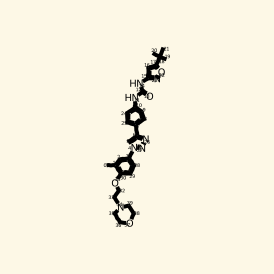 Cc1cc(-n2cc(-c3ccc(NC(=O)Nc4cc(C(C)(C)C)on4)cc3)nn2)ccc1OCCN1CCOCC1